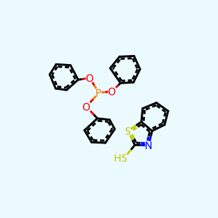 Sc1nc2ccccc2s1.c1ccc(OP(Oc2ccccc2)Oc2ccccc2)cc1